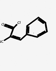 N#CC(=Cc1ccccc1)C(=O)Cl